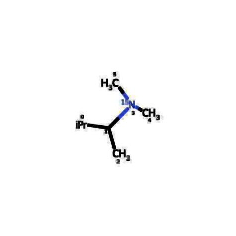 CC(C)C(C)[15N](C)C